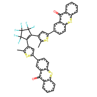 Cc1sc(-c2ccc3sc4ccccc4c(=O)c3c2)cc1C1=C(c2cc(-c3ccc4sc5ccccc5c(=O)c4c3)sc2C)C(F)(F)C(F)(F)C1(F)F